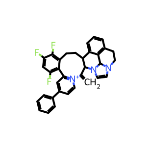 C=C1C2C(CCc3c(F)c(F)cc(F)c3-c3cc(-c4ccccc4)cc[n+]31)c1cccc3c1C1N(C=CN21)CC3